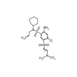 C=CCN(C1CCCCC1)S(=O)(=O)c1cc(S(=O)(=O)/N=C/N(C)C)c(Cl)cc1N